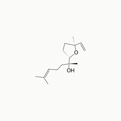 C=C[C@]1(C)CC[C@@H]([C@](C)(O)CCC=C(C)C)O1